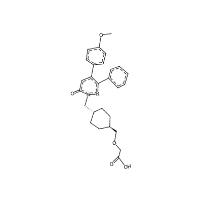 COc1ccc(-c2cc(=O)n(C[C@H]3CC[C@H](COCC(=O)O)CC3)nc2-c2ccccc2)cc1